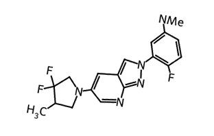 CNc1ccc(F)c(-n2cc3cc(N4CC(C)C(F)(F)C4)cnc3n2)c1